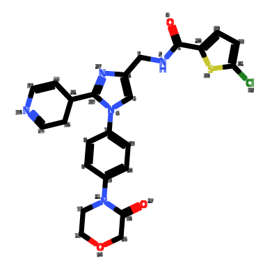 O=C(NCc1cn(-c2ccc(N3CCOCC3=O)cc2)c(C2C=CN=CC2)n1)c1ccc(Cl)s1